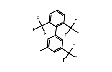 Cc1cc(-c2c(C(F)(F)F)cccc2C(F)(F)F)cc(C(F)(F)F)c1